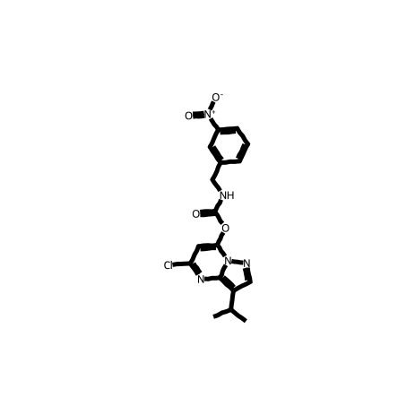 CC(C)c1cnn2c(OC(=O)NCc3cccc([N+](=O)[O-])c3)cc(Cl)nc12